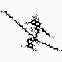 COCCOCCOCCOCCOCCOCC[N+]1=C(/C=C/C=C2/N(CCCCCC(=O)O)c3ccc4c(S(=O)(=O)[O-])cc(S(=O)(=O)O)cc4c3C2(C)C)C(C)(CCOCCOCCOCCOC)c2c1ccc1c(S(=O)(=O)O)cc(S(=O)(=O)O)cc21